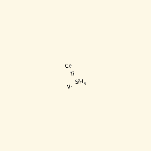 [Ce].[SiH4].[Ti].[V]